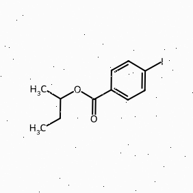 CCC(C)OC(=O)c1ccc(I)cc1